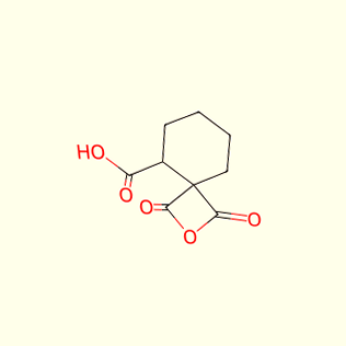 O=C(O)C1CCCCC12C(=O)OC2=O